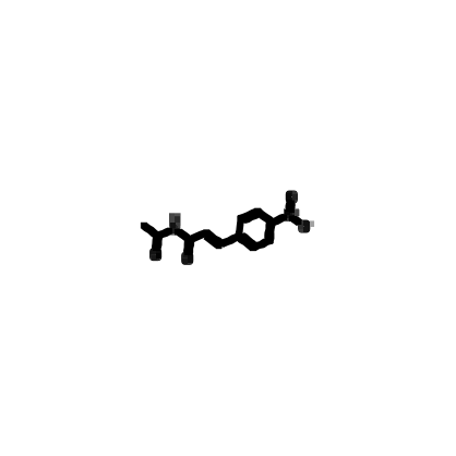 CC(=O)NC(=O)C=Cc1ccc([N+](=O)[O-])cc1